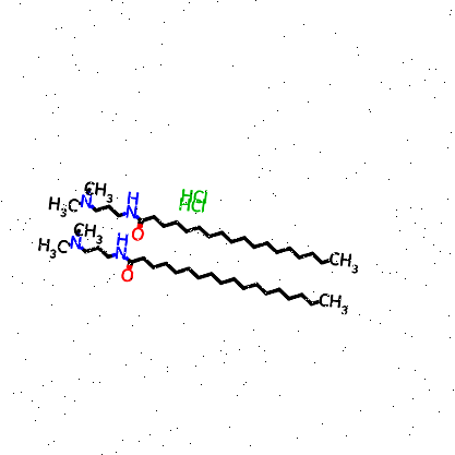 CCCCCCCCCCCCCCCCCC(=O)NCCCN(C)C.CCCCCCCCCCCCCCCCCC(=O)NCCCN(C)C.Cl.Cl